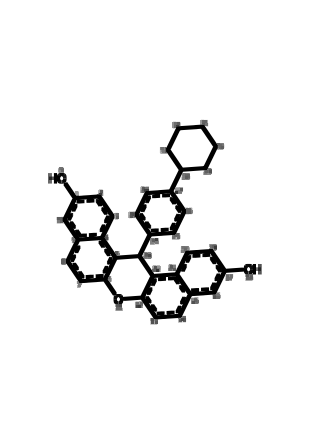 Oc1ccc2c3c(ccc2c1)Oc1ccc2cc(O)ccc2c1C3c1ccc(C2CCCCC2)cc1